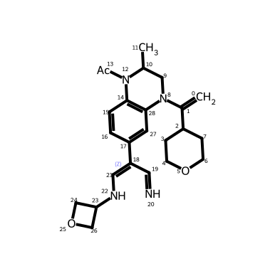 C=C(C1CCOCC1)N1CC(C)N(C(C)=O)c2ccc(/C(C=N)=C/NC3COC3)cc21